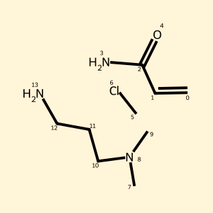 C=CC(N)=O.CCl.CN(C)CCCN